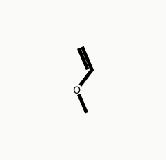 C=COC